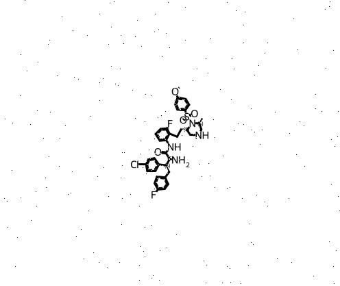 COc1ccc(S(=O)(=O)N2[C@@H](CCc3c(F)cccc3NC(=O)[C@@H](N)[C@@H](Cc3ccc(F)cc3)c3ccc(Cl)cc3)CNC[C@@H]2C)cc1